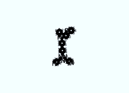 c1ccc2c(c1)nc(-c1ccc(-c3ccc(-c4nc(-c5ccncc5)nc(-c5ccncc5)n4)cc3)cc1)c1ccc3c4ccccc4sc3c12